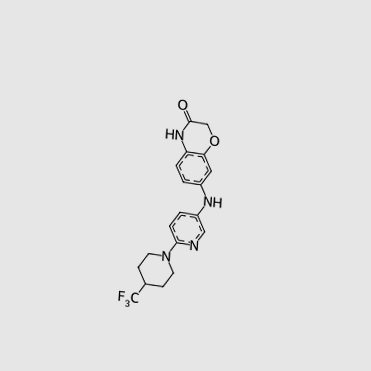 O=C1COc2cc(Nc3ccc(N4CCC(C(F)(F)F)CC4)nc3)ccc2N1